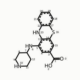 O=C(O)c1cc(NC2CCNCC2)c2c(c1)Sc1ccccc1N2